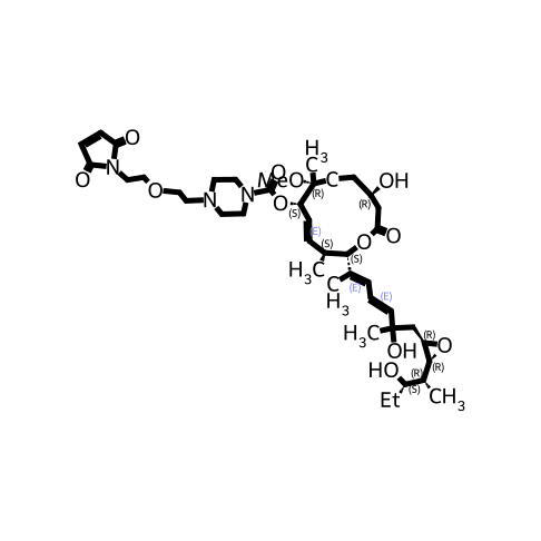 CC[C@H](O)[C@@H](C)[C@H]1O[C@@H]1CC(C)(O)/C=C/C=C(\C)[C@H]1OC(=O)C[C@H](O)CC[C@@](C)(OC)[C@@H](OC(=O)N2CCN(CCOCCN3C(=O)C=CC3=O)CC2)/C=C/[C@@H]1C